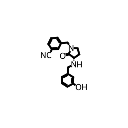 N#Cc1cccc(CN2CC[C@H](NCc3cccc(O)c3)C2=O)c1